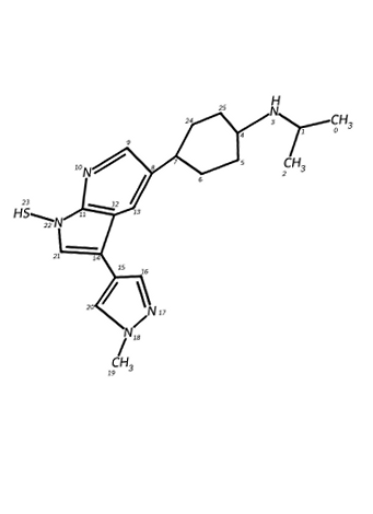 CC(C)NC1CCC(c2cnc3c(c2)c(-c2cnn(C)c2)cn3S)CC1